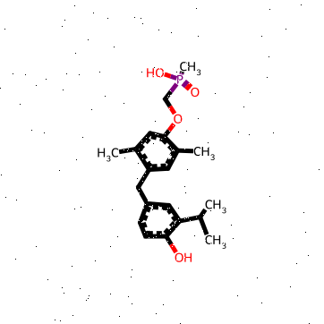 Cc1cc(OCP(C)(=O)O)c(C)cc1Cc1ccc(O)c(C(C)C)c1